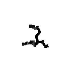 O=C(O)CCC(=O)OS.[AlH3].[CaH2].[Fe]